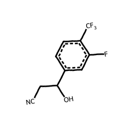 N#CCC(O)c1ccc(C(F)(F)F)c(F)c1